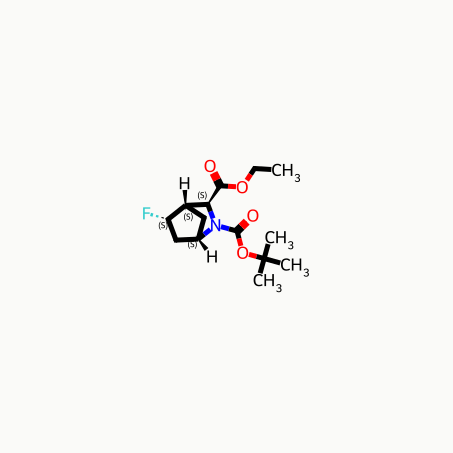 CCOC(=O)[C@@H]1[C@@H]2C[C@@H](C[C@@H]2F)N1C(=O)OC(C)(C)C